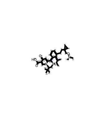 CC/C(C)=c1/c(CCC2(CON(C)C)CC2)ccc/c1=C1\c2cc(=O)c(C(=O)O)cn2C(C(C)(C)C)CN1C